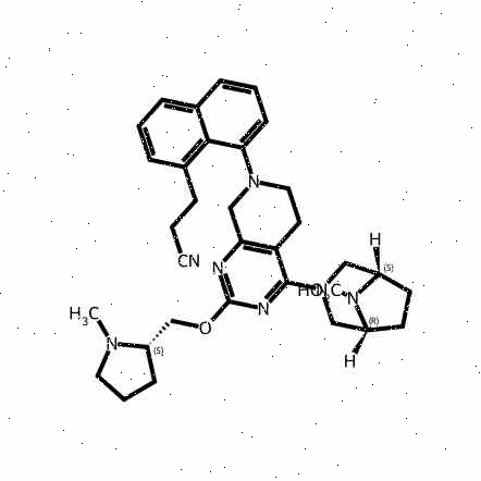 CN1CCC[C@H]1COc1nc2c(c(N3C[C@H]4CC[C@@H](C3)N4C(=O)O)n1)CCN(c1cccc3cccc(CCC#N)c13)C2